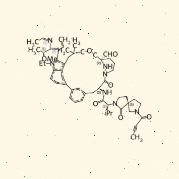 C=C/C(=C(\N=C/C)[C@H](C)OC)c1c2c3cc(ccc3n1CC)-c1cccc(c1)C[C@H](NC(=O)[C@H](C(C)C)N1CC[C@]3(CCN(C(=O)C#CC)C3)C1=O)C(=O)N1CCC[C@](C=O)(COCC(C)(C)C2)N1